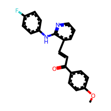 COc1ccc(C(=O)C=Cc2cccnc2Nc2ccc(F)cc2)cc1